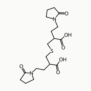 O=C(O)C(CCN1CCCC1=O)CSCC(CCN1CCCC1=O)C(=O)O